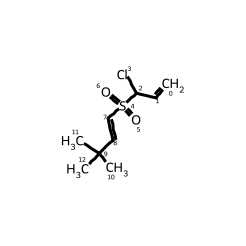 C=CC(Cl)S(=O)(=O)C=CC(C)(C)C